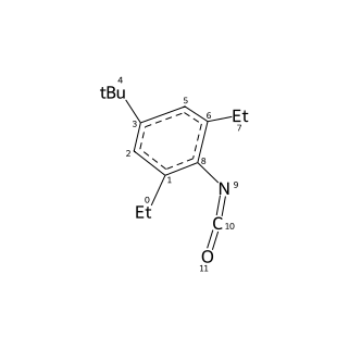 CCc1cc(C(C)(C)C)cc(CC)c1N=C=O